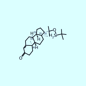 CC(C)(C)[SiH2]OC(C)(C)[C@H]1CC[C@H]2[C@@H]3CCC4=CC(=O)CC[C@]4(C)[C@H]3CC[C@]12C